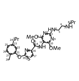 COc1nc(NCCNC(C)C)nc(OC)c1NC(=O)c1csc(Oc2cc(C(C)C)ccc2C)n1